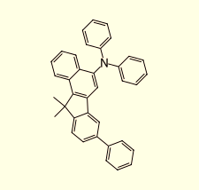 CC1(C)c2ccc(-c3ccccc3)cc2-c2cc(N(c3ccccc3)c3ccccc3)c3ccccc3c21